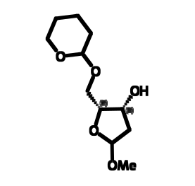 COC1C[C@@H](O)[C@@H](COC2CCCCO2)O1